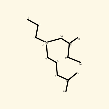 CCCN(CCCC(C)C)CC(C)CC